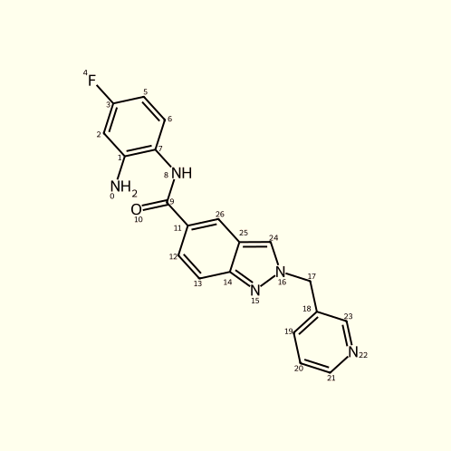 Nc1cc(F)ccc1NC(=O)c1ccc2nn(Cc3cccnc3)cc2c1